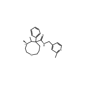 Cc1cc(CNC(=O)C2(c3ccccc3)CCCOCC[C@@H](C)C2C)ccn1